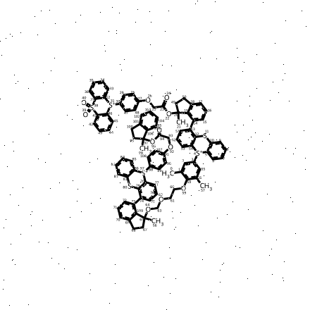 Cc1cc([S+]2c3ccccc3Sc3c(-c4cccc5c4C(C)(OC(=O)COc4ccc([S+]6c7ccccc7S(=O)(=O)c7ccccc76)cc4)CC5)cccc32)cc(C)c1OCCOCOC1(C)CCc2cccc(-c3cccc4c3Sc3ccccc3[S+]4c3ccc(OCC(=O)OC4(C)CCc5ccccc54)cc3)c21